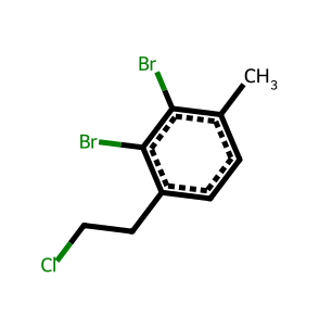 Cc1ccc(CCCl)c(Br)c1Br